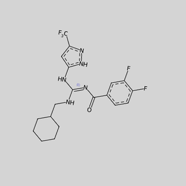 O=C(/N=C(\NCC1CCCCC1)Nc1cc(C(F)(F)F)n[nH]1)c1ccc(F)c(F)c1